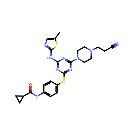 Cc1cnc(Nc2nc(Sc3ccc(NC(=O)C4CC4)cc3)nc(N3CCN(CCC#N)CC3)n2)s1